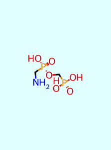 NCP(=O)(O)OCP(=O)(O)O